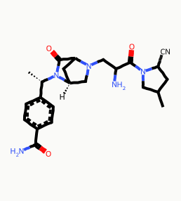 CC1CC(C#N)N(C(=O)C(N)CN2C[C@@H]3CC2C(=O)N3[C@@H](C)c2ccc(C(N)=O)cc2)C1